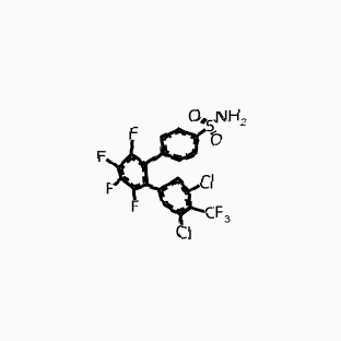 NS(=O)(=O)c1ccc(-c2c(F)c(F)c(F)c(F)c2-c2cc(Cl)c(C(F)(F)F)c(Cl)c2)cc1